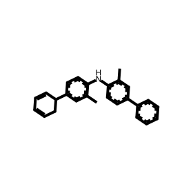 Cc1cc(-c2ccccc2)ccc1Nc1ccc(C2C=CC=CC2)cc1C